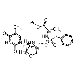 Cc1cn([C@@H]2O[C@@]3(CO[P@](=O)(N[C@@H](C)C(=O)OC(C)C)Oc4ccccc4)CO[C@@H]2[C@@H]3O)c(=O)[nH]c1=O